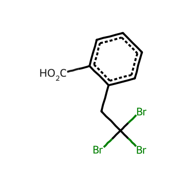 O=C(O)c1ccccc1CC(Br)(Br)Br